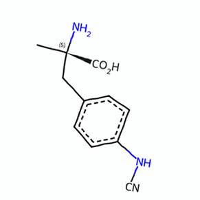 C[C@](N)(Cc1ccc(NC#N)cc1)C(=O)O